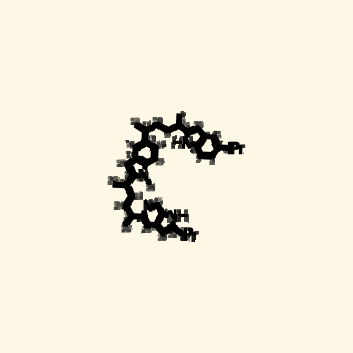 CC(C)c1ccc2[nH]c(C(C)CCC(C)c3ccc4c(c3)cc(C(C)CCC(C)c3cc5cc(C(C)C)[nH]c5cn3)n4C)cc2c1